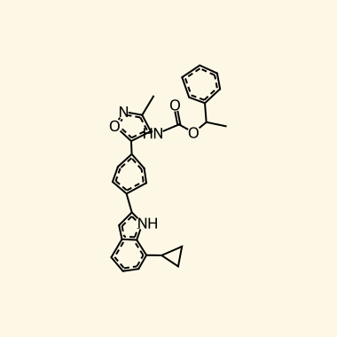 Cc1noc(-c2ccc(-c3cc4cccc(C5CC5)c4[nH]3)cc2)c1NC(=O)OC(C)c1ccccc1